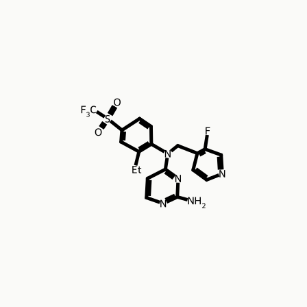 CCc1cc(S(=O)(=O)C(F)(F)F)ccc1N(Cc1ccncc1F)c1ccnc(N)n1